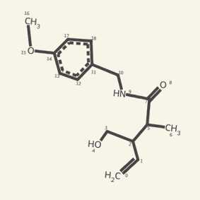 C=CC(CO)C(C)C(=O)NCc1ccc(OC)cc1